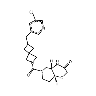 O=C1CO[C@@H]2CCN(C(=O)N3CC4(CC(Cc5cncc(Cl)c5)C4)C3)C[C@@H]2N1